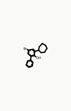 Oc1c(-c2ccccc2)cc(Br)cc1C1CCCCCC1